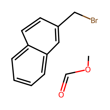 BrCc1ccc2ccccc2c1.COC=O